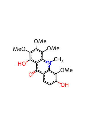 COc1c(OC)c(OC)c2c(c1O)c(=O)c1ccc(O)c(OC)c1n2C